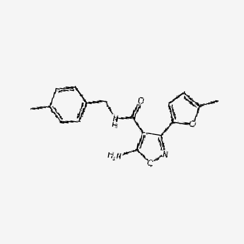 Cc1ccc(CNC(=O)c2c(-c3ccc(C)o3)noc2N)cc1